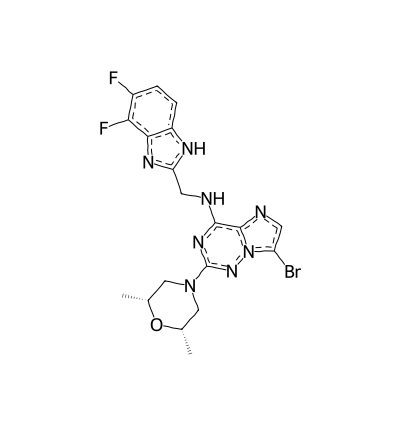 C[C@@H]1CN(c2nc(NCc3nc4c(F)c(F)ccc4[nH]3)c3ncc(Br)n3n2)C[C@H](C)O1